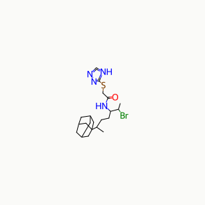 CC(Br)C(CCC(C)C12CC3CC(CC(C3)C1)C2)NC(=O)CSc1nnc[nH]1